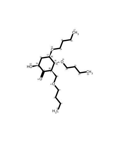 CCCCOC[C@H]1C(=O)[C@@H](O)C[C@@H](OCCCC)[C@@H]1OCCCC